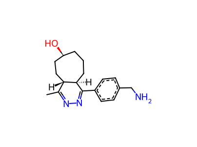 CC1=NN=C(c2ccc(CN)cc2)[C@@H]2CCC[C@H](O)CC[C@@H]12